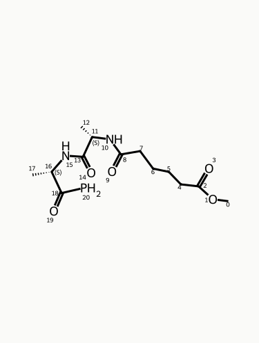 COC(=O)CCCCC(=O)N[C@@H](C)C(=O)N[C@@H](C)C(=O)P